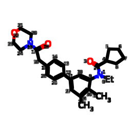 CCN(C(=O)C1CCCC1)c1cc(-c2ccc(CC(=O)N3CCOCC3)cc2)cc(C)c1C